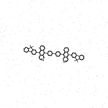 CC1(C)c2ccccc2-c2ccc(-c3c4ccccc4c(-c4ccc(-c5ccc(-c6c7ccccc7c(-c7ccc8c(c7)C(C)(C)c7ccccc7-8)c7ccncc67)cc5)cc4)c4cnccc34)cc21